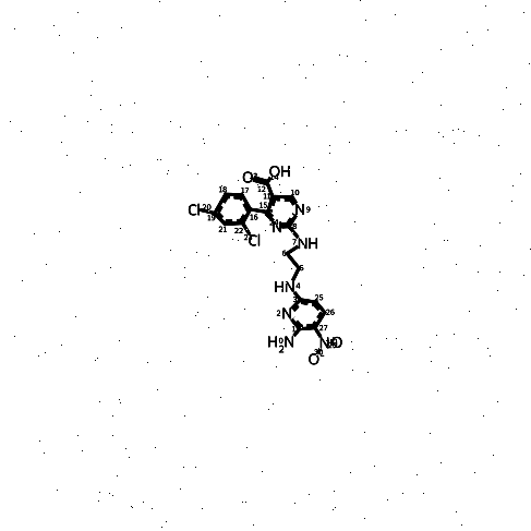 Nc1nc(NCCNc2ncc(C(=O)O)c(-c3ccc(Cl)cc3Cl)n2)ccc1[N+](=O)[O-]